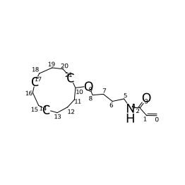 C=CC(=O)NCCCCOC1CCCCCCCCCCC1